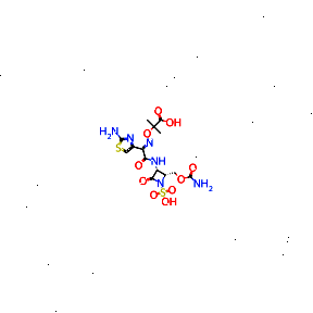 CC(C)(O/N=C(/C(=O)N[C@H]1C(=O)N(S(=O)(=O)O)[C@H]1COC(N)=O)c1csc(N)n1)C(=O)O